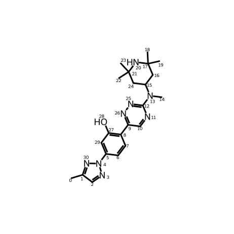 Cc1cnn(-c2ccc(-c3cnc(N(C)C4CC(C)(C)NC(C)(C)C4)nn3)c(O)c2)n1